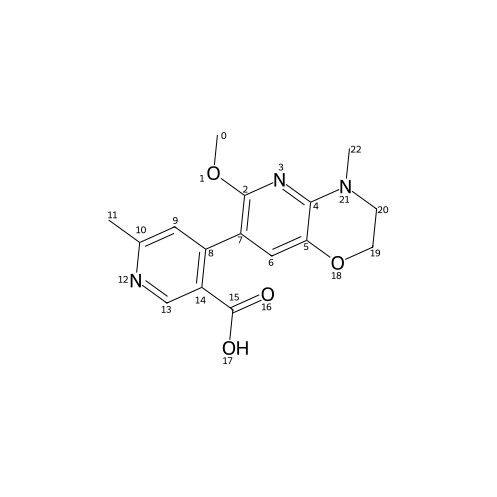 COc1nc2c(cc1-c1cc(C)ncc1C(=O)O)OCCN2C